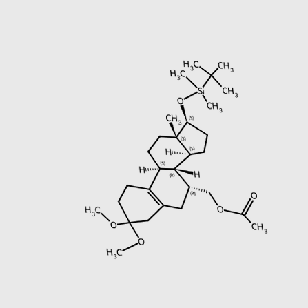 COC1(OC)CCC2=C(C[C@@H](COC(C)=O)[C@@H]3[C@@H]2CC[C@]2(C)[C@@H](O[Si](C)(C)C(C)(C)C)CC[C@@H]32)C1